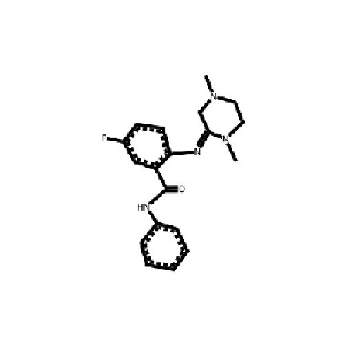 CN1CCN(C)/C(=N/c2ccc(F)cc2C(=O)Nc2ccccc2)C1